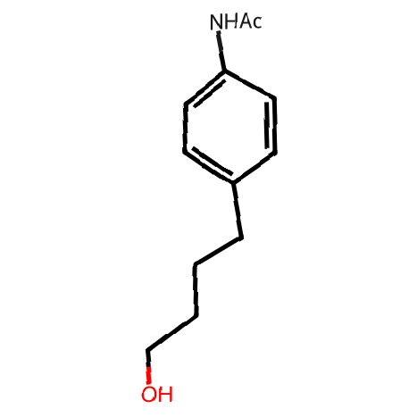 CC(=O)Nc1ccc(CCCCO)cc1